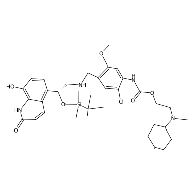 COc1cc(NC(=O)OCCN(C)C2CC[CH]CC2)c(Cl)cc1CNC[C@H](O[Si](C)(C)C(C)(C)C)c1ccc(O)c2[nH]c(=O)ccc12